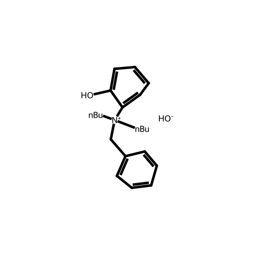 CCCC[N+](CCCC)(Cc1ccccc1)c1ccccc1O.[OH-]